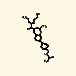 CCCN(OCCO)C(=O)C1=Cc2ccc(-c3cnc(CNC(C)=O)nc3)cc2N=C(N)C1